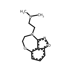 CN(C)CCN1CCOc2cccc3onc1c23